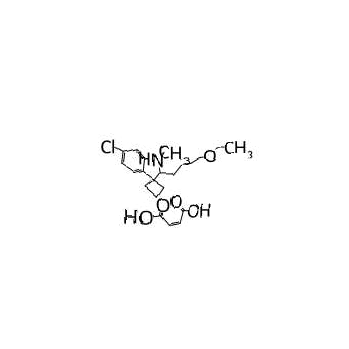 CCOCCCCC(NC)C1(c2ccc(Cl)cc2)CCC1.O=C(O)/C=C\C(=O)O